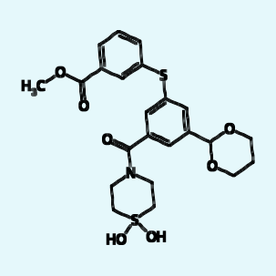 COC(=O)c1cccc(Sc2cc(C(=O)N3CCS(O)(O)CC3)cc(C3OCCCO3)c2)c1